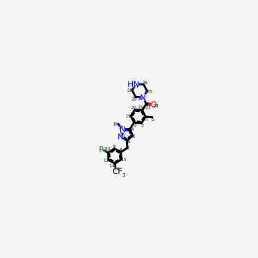 Cc1cc(-c2cc(Cc3cc(F)cc(C(F)(F)F)c3)nn2C)ccc1C(=O)N1CCNCC1